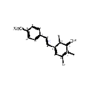 COc1ccc(/C=C/C2=CC(C)=[N+](C)C(=O)C2C)cc1